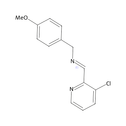 COc1ccc(C/N=C/c2ncccc2Cl)cc1